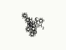 C=C/C(=C\C=C(/C)c1ccccc1)c1nc(-c2ccc(-c3ccccc3)cc2)nc(-c2ccccc2-c2cccc3oc4ccccc4c23)n1